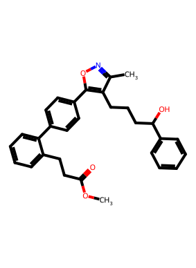 COC(=O)CCc1ccccc1-c1ccc(-c2onc(C)c2CCCC(O)c2ccccc2)cc1